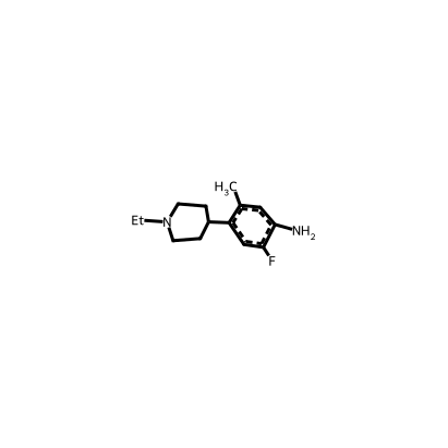 CCN1CCC(c2cc(F)c(N)cc2C)CC1